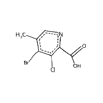 Cc1cnc(C(=O)O)c(Cl)c1Br